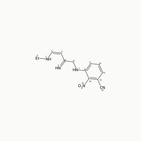 CCN/C=C\C(=N)CNc1cccc(C#N)c1[N+](=O)[O-]